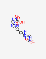 COC(=O)N[C@H](C(=O)N1CCC[C@H]1c1ncc(-c2ccc(-c3ccc(-c4cnc([C@@H]5CCCN5C(=O)[C@@H](NC(=O)OC)[C@@H](C)CO)[nH]4)cc3)cc2)[nH]1)C(C)C